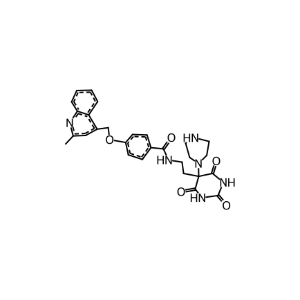 Cc1cc(COc2ccc(C(=O)NCCC3(N4CCNCC4)C(=O)NC(=O)NC3=O)cc2)c2ccccc2n1